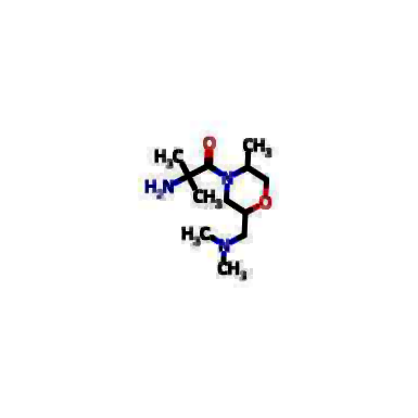 CC1COC(CN(C)C)CN1C(=O)C(C)(C)N